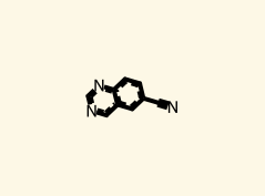 N#Cc1ccc2ncncc2c1